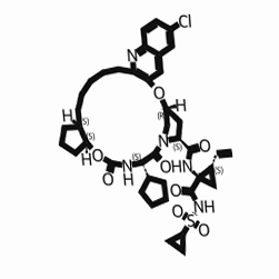 C=C[C@@H]1C[C@]1(NC(=O)[C@@H]1C[C@@H]2CN1C(=O)[C@H](C1CCCC1)NC(=O)O[C@H]1CCC[C@@H]1CCCCCc1nc3ccc(Cl)cc3cc1O2)C(=O)NS(=O)(=O)C1CC1